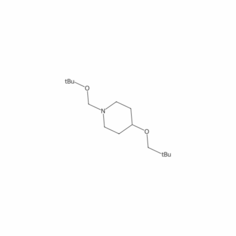 CC(C)(C)COC1CCN(COC(C)(C)C)CC1